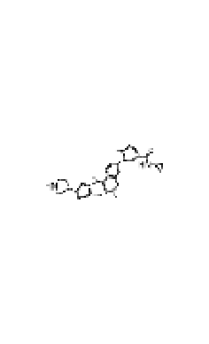 Cc1ccc(C(=O)NC2CC2)cc1-c1ccc2c(=O)n(Cc3ccc(C4CCNCC4)cc3)c(C)cc2c1